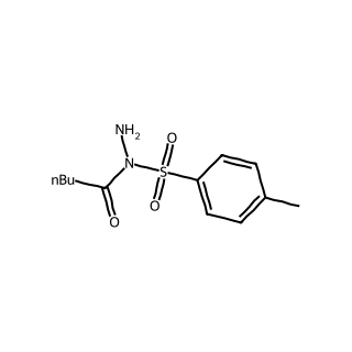 CCCCC(=O)N(N)S(=O)(=O)c1ccc(C)cc1